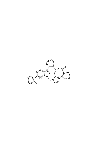 C=C1CC2c3ccccc3N3c4cnc(-c5ccccc5C)nc4N(C)C3C2C2N(C)C=CN2c2ccccc21